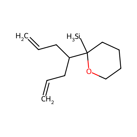 C=CCC(CC=C)C1([SiH3])CCCCO1